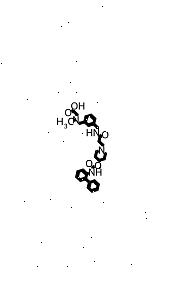 CN(CC(=O)O)Cc1cccc(CNC(=O)CCN2CCC(OC(=O)Nc3ccccc3-c3ccccc3)CC2)c1